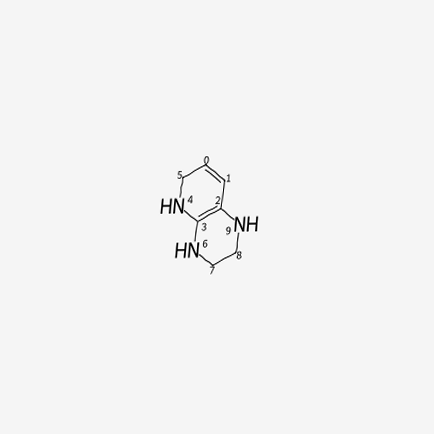 C1=CC2=C(NC1)NCCN2